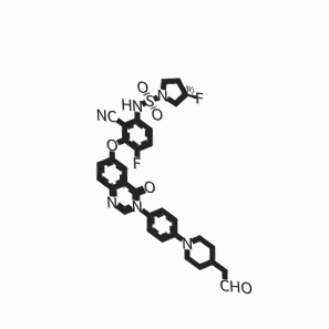 N#Cc1c(NS(=O)(=O)N2CC[C@@H](F)C2)ccc(F)c1Oc1ccc2ncn(-c3ccc(N4CCC(CC=O)CC4)cc3)c(=O)c2c1